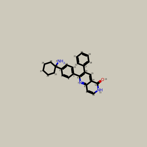 NC1(c2ccc(-c3nc4cc[nH]c(=O)c4cc3-c3ccccc3)cc2)CCCCC1